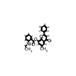 CCNc1ccccc1C(=O)Oc1cc(C)cc2c(=O)cc(-c3ccccc3)oc12